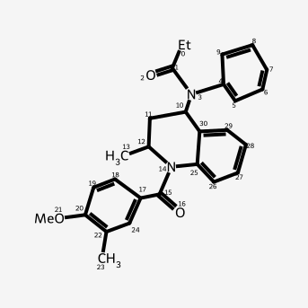 CCC(=O)N(c1ccccc1)C1CC(C)N(C(=O)c2ccc(OC)c(C)c2)c2ccccc21